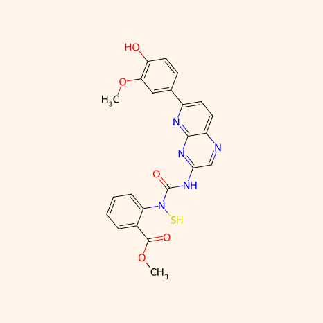 COC(=O)c1ccccc1N(S)C(=O)Nc1cnc2ccc(-c3ccc(O)c(OC)c3)nc2n1